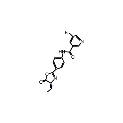 C/C=C1/N=C(c2ccc(NC(=O)c3cncc(Br)c3)cc2)OC1=O